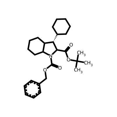 CC(C)(C)OC(=O)C1[C@@H](C2CCCCC2)C2CCCCC2N1C(=O)OCc1ccccc1